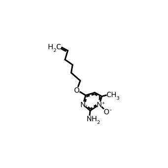 C=CCCCCOc1cc(C)[n+]([O-])c(N)n1